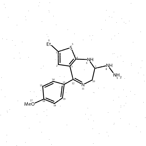 CCc1cc2c(s1)NC(NN)CN=C2c1ccc(OC)cc1